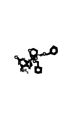 Nc1nc(Cl)nc2c1ncn2C1O[C@]2(COCc3ccccc3)CCOC1C2OCc1ccccc1